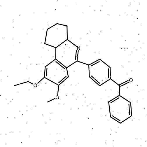 CCOc1cc2c(cc1OC)C(c1ccc(C(=O)c3ccccc3)cc1)=NC1CCCCC21